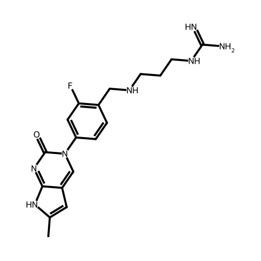 Cc1cc2cn(-c3ccc(CNCCCNC(=N)N)c(F)c3)c(=O)nc2[nH]1